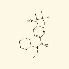 CCN(C(=O)c1ccc([C@](C)(O)C(F)(F)F)cc1)C1CCCCC1